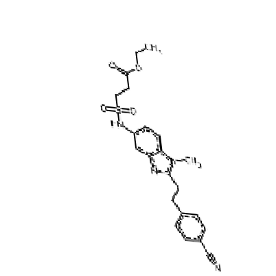 CCOC(=O)CCS(=O)(=O)Nc1ccc2c(c1)nc(CCc1ccc(C#N)cc1)n2C